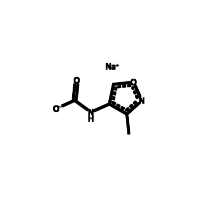 Cc1nocc1NC(=O)[O-].[Na+]